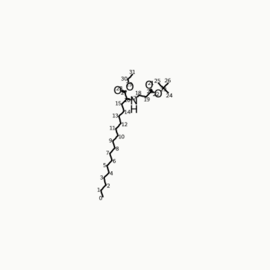 CCCCCCCCCCCCCCCCC(NCCC(=O)OC(C)(C)C)C(=O)OCC